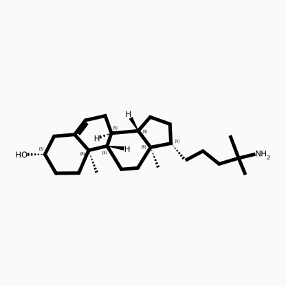 CC(C)(N)CCC[C@H]1CC[C@H]2[C@@H]3CC=C4C[C@@H](O)CC[C@]4(C)[C@H]3CC[C@]12C